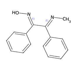 C/N=C(/C(=N/O)c1ccccc1)c1ccccc1